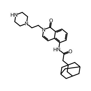 O=C(CC12CC3CC(CC(C3)C1)C2)Nc1cccc2c(=O)n(CCN3CCNCC3)ccc12